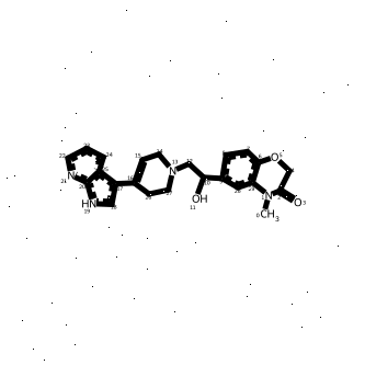 CN1C(=O)COc2ccc(C(O)CN3CC=C(c4c[nH]c5ncccc45)CC3)cc21